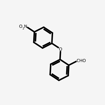 O=Cc1ccccc1Oc1ccc([N+](=O)[O-])cc1